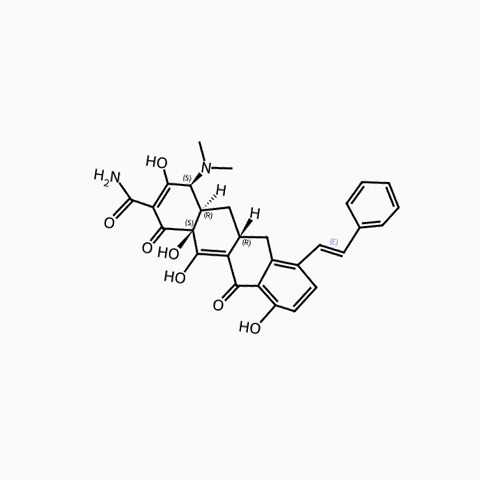 CN(C)[C@@H]1C(O)=C(C(N)=O)C(=O)[C@@]2(O)C(O)=C3C(=O)c4c(O)ccc(/C=C/c5ccccc5)c4C[C@H]3C[C@H]12